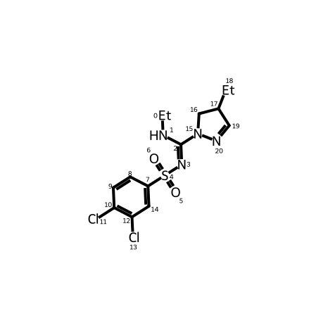 CCN/C(=N\S(=O)(=O)c1ccc(Cl)c(Cl)c1)N1CC(CC)C=N1